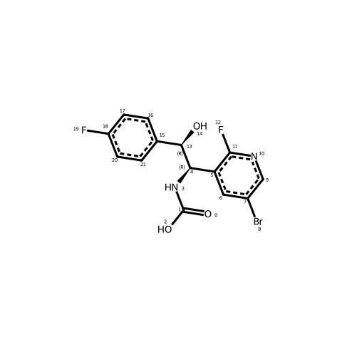 O=C(O)N[C@H](c1cc(Br)cnc1F)[C@H](O)c1ccc(F)cc1